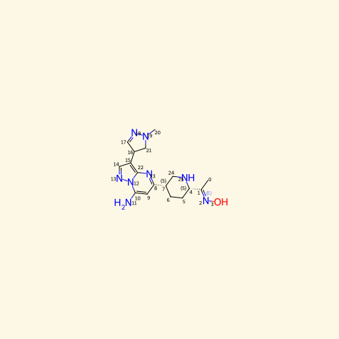 C/C(=N\O)[C@@H]1CC[C@H](c2cc(N)n3ncc(C4C=NN(C)C4)c3n2)CN1